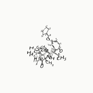 Cc1oc2ccc(OCC3CCCC3)cc2c1C(=O)NC(C)(CO[Si](C)(C)C(C)(C)C)C(N)=O